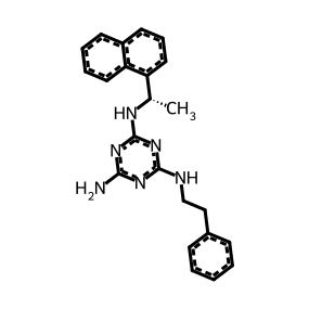 C[C@H](Nc1nc(N)nc(NCCc2ccccc2)n1)c1cccc2ccccc12